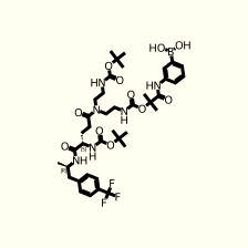 C[C@H](Cc1ccc(C(F)(F)F)cc1)NC(=O)[C@H](CCC(=O)N(CCNC(=O)OC(C)(C)C)CCNC(=O)OC(C)(C)C(=O)Nc1cccc(B(O)O)c1)NC(=O)OC(C)(C)C